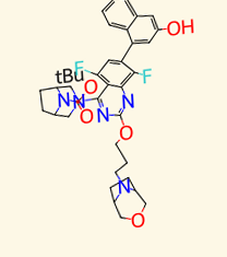 CC(C)(C)OC(=O)N1C2CCC1CN(c1nc(OCCCN3C4CCC3COC4)nc3c(F)c(-c4cc(O)cc5ccccc45)cc(F)c13)C2